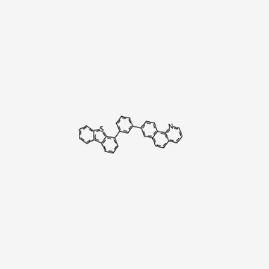 c1cc(-c2ccc3c(ccc4cccnc43)c2)cc(-c2cccc3c2sc2ccccc23)c1